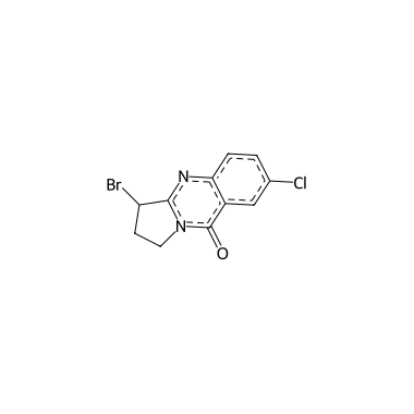 O=c1c2cc(Cl)ccc2nc2n1CCC2Br